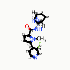 Cn1c(C(=O)N[C@@H]2C[C@H]3CC[C@@H]2N3)ccc1-c1ccncc1F